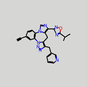 C#Cc1ccc2c(c1)-n1nnc(Cc3cccnc3)c1Cc1c(-c3noc(C(C)C)n3)ncn1-2